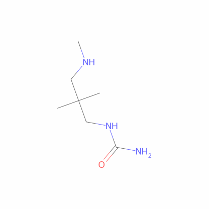 CNCC(C)(C)CNC(N)=O